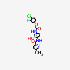 Cc1ccc(C(=O)NC2=C3CC(NC(=O)COc4ccc(Cl)c(F)c4)(C3)CC2O)nc1